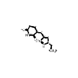 O=C(O)Cn1cc(CC2CCC(=O)NC2=O)nn1